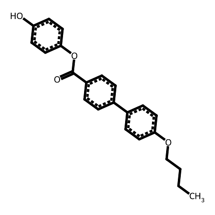 CCCCOc1ccc(-c2ccc(C(=O)Oc3ccc(O)cc3)cc2)cc1